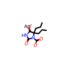 CCCC1(CCC)C(=O)NC(=O)N1C(=O)[O-].[Ag+]